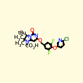 CC(C)(C)C1n2c(cc(OCc3cc(F)c(Oc4ccc(Cl)nc4)c(F)c3)nc2=O)N(C(=O)O)C1(C)C